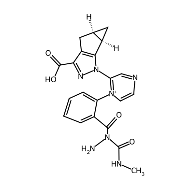 CNC(=O)N(N)C(=O)c1ccccc1-[n+]1ccncc1-n1nc(C(=O)O)c2c1[C@@H]1C[C@@H]1C2